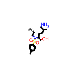 Cc1ccc(S(=O)(=O)N(CCC(C)C)[C@H](CO)CCC(C)CN)cc1